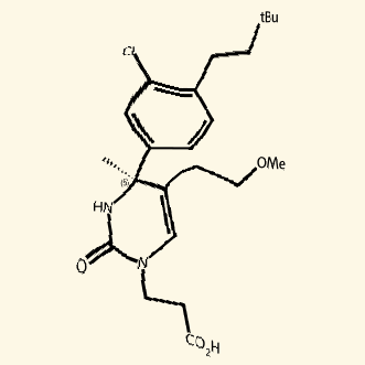 COCCC1=CN(CCC(=O)O)C(=O)N[C@@]1(C)c1ccc(CCC(C)(C)C)c(Cl)c1